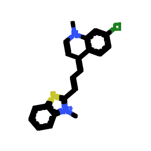 CN1C=C/C(=C\C=C\c2sc3ccccc3[n+]2C)c2ccc(Cl)cc21